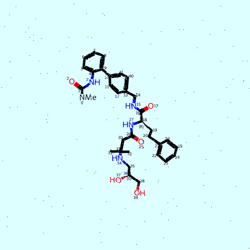 CNC(=O)Nc1ccccc1-c1ccc(CNC(=O)[C@@H](CCc2ccccc2)NC(=O)CC(C)(C)NC[C@H](O)CO)cc1